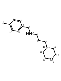 [CH2]c1ccc(CNCCCN2CCOCC2)cc1